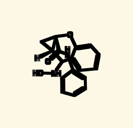 O=C(Nc1ccccc1)[C@]12C[C@H]1C(NO)c1ccccc1O2